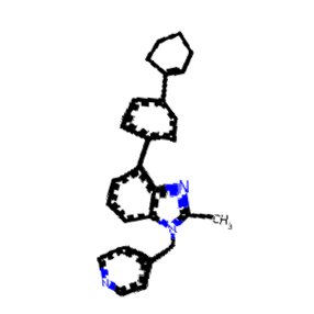 Cc1nc2c(-c3ccc(C4=CCCCC4)cc3)cccc2n1Cc1ccncc1